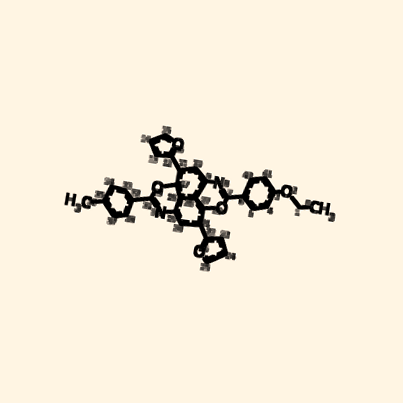 CCOc1ccc(C2=Nc3cc(-c4ccco4)c4c5c(cc(-c6ccco6)c(c35)O2)N=C(c2ccc(C)cc2)O4)cc1